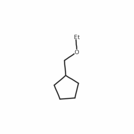 [CH2]COCC1CCCC1